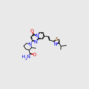 CC(C)c1csc(C=Cc2ccn3c(=O)cc(N4CCCC(C(N)=O)C4C)nc3c2)n1